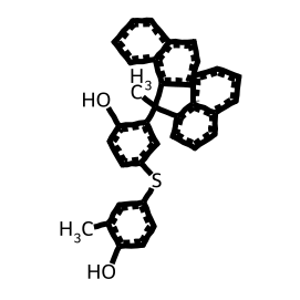 Cc1cc(Sc2ccc(O)c(C(C)(c3cccc4ccccc34)c3cccc4ccccc34)c2)ccc1O